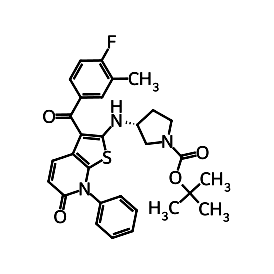 Cc1cc(C(=O)c2c(N[C@@H]3CCN(C(=O)OC(C)(C)C)C3)sc3c2ccc(=O)n3-c2ccccc2)ccc1F